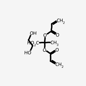 C=CC(=O)OC(C)(OC(=O)C=C)C(=O)O.OCCO